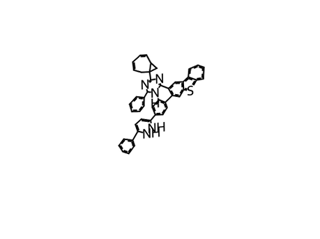 C1=CCC2(C3=NC(c4ccccc4)NC(c4cc5c(cc4-c4ccc(C6=CC=C(c7ccccc7)NN6)cc4)sc4ccccc45)=N3)CC2C=C1